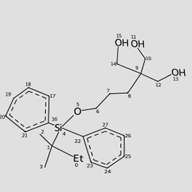 CCC(C)(C)[Si](OCCCC(CO)(CO)CO)(c1ccccc1)c1ccccc1